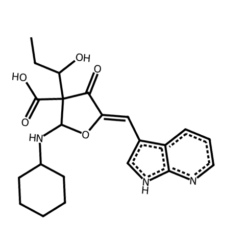 CCC(O)C1(C(=O)O)C(=O)/C(=C/c2c[nH]c3ncccc23)OC1NC1CCCCC1